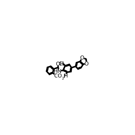 O=C(O)c1ccccc1C(O)Nc1c(F)cc(-c2ccc3c(c2)OCO3)cc1Cl